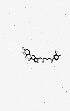 Cc1ccc(NCCCNCc2scc3c2CN(C2CCC(=O)NC2=O)C3=O)cc1Cl